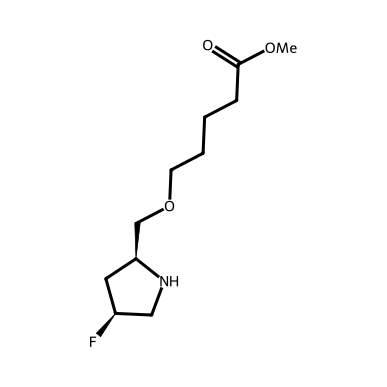 COC(=O)CCCCOC[C@@H]1C[C@H](F)CN1